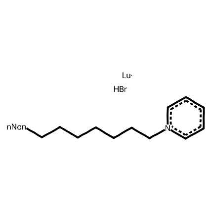 Br.CCCCCCCCCCCCCCCC[n+]1ccccc1.[Lu]